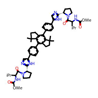 COC(=O)NC(C(=O)N1CCC[C@H]1c1ncc(-c2ccc(-c3c4c(c(-c5ccc(-c6cnc([C@@H]7CCCN7C(=O)C(NC(=O)OC)C(C)C)[nH]6)cc5)c5c3C(C)(C)CC5)C(C)(C)CC4)cc2)[nH]1)C(C)C